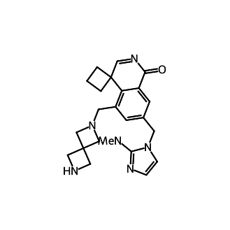 CNc1nccn1Cc1cc(CN2CC3(CNC3)C2)c2c(c1)C(=O)N=CC21CCC1